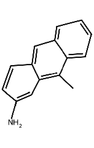 Cc1c2ccccc2cc2ccc(N)cc12